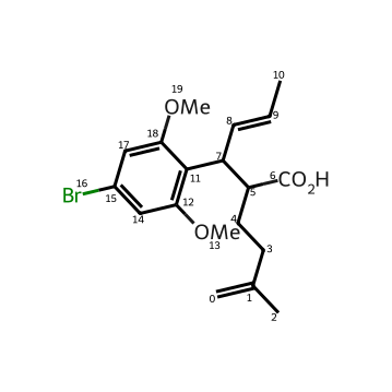 C=C(C)CCC(C(=O)O)C(/C=C/C)c1c(OC)cc(Br)cc1OC